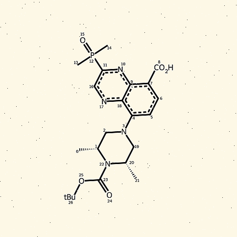 C[C@@H]1CN(c2ccc(C(=O)O)c3nc(P(C)(C)=O)cnc23)C[C@H](C)N1C(=O)OC(C)(C)C